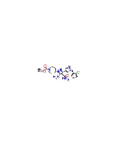 CC(C)(C)OC(=O)N1CCCC(n2nc(-c3cnn(Cc4ccccc4Cl)c3)c(C(N)=O)c2N)CCC1